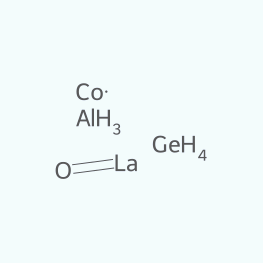 [AlH3].[Co].[GeH4].[O]=[La]